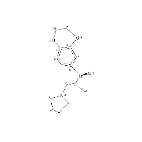 C[C@H](CN1CCCC1)[C@H](O)c1ccc2c(c1)OCCO2